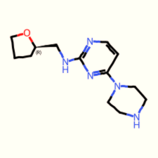 c1cc(N2CCNCC2)nc(NC[C@H]2CCCO2)n1